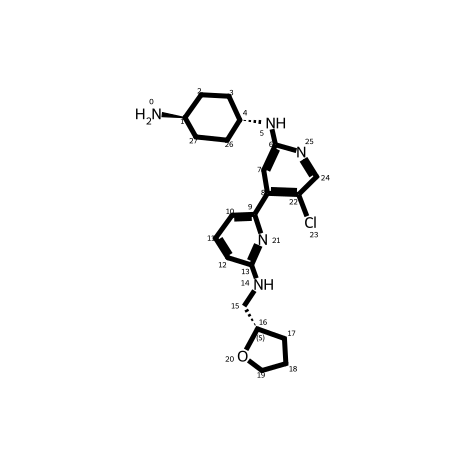 N[C@H]1CC[C@H](Nc2cc(-c3cccc(NC[C@@H]4CCCO4)n3)c(Cl)cn2)CC1